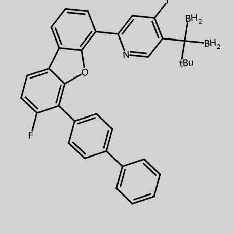 BC(B)(c1cnc(-c2cccc3c2oc2c(-c4ccc(-c5ccccc5)cc4)c(F)ccc23)cc1F)C(C)(C)C